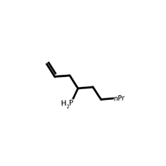 C=CCC(P)CCCCC